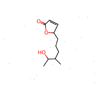 CC(O)C(C)CCCC1C=CC(=O)O1